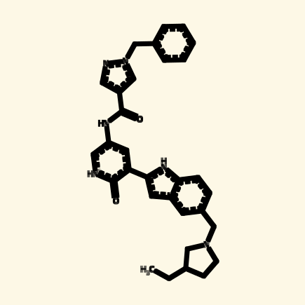 CCC1CCN(Cc2ccc3[nH]c(-c4cc(NC(=O)c5cnn(Cc6ccccc6)c5)c[nH]c4=O)cc3c2)C1